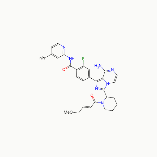 CCCc1ccnc(NC(=O)c2ccc(-c3nc(C4CCCCN4C(=O)C=CCOC)n4ccnc(N)c34)cc2F)c1